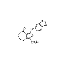 CCOC(=O)c1sc(Oc2ccc3c(c2)OCO3)c2c1CCCCC2=O